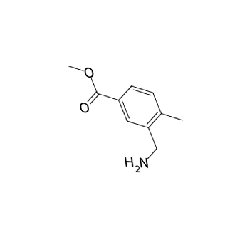 COC(=O)c1ccc(C)c(CN)c1